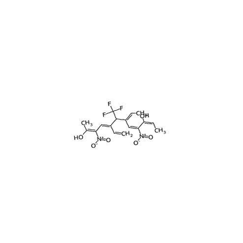 C=C/C(=C\C(=C(/C)O)[N+](=O)[O-])C(C(=C/C)/C=C(\C(O)=C/C)[N+](=O)[O-])C(F)(F)F